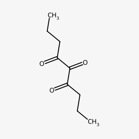 CCCC(=O)C(=O)C(=O)CCC